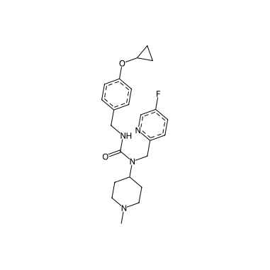 CN1CCC(N(Cc2ccc(F)cn2)C(=O)NCc2ccc(OC3CC3)cc2)CC1